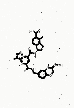 Cc1c(C(=O)O)ccc2c1CC[C@@H]2NC(=O)c1cc(C(=O)NCc2ccc3c(c2)N/C(=N/O)CO3)nc2c(F)cnn12